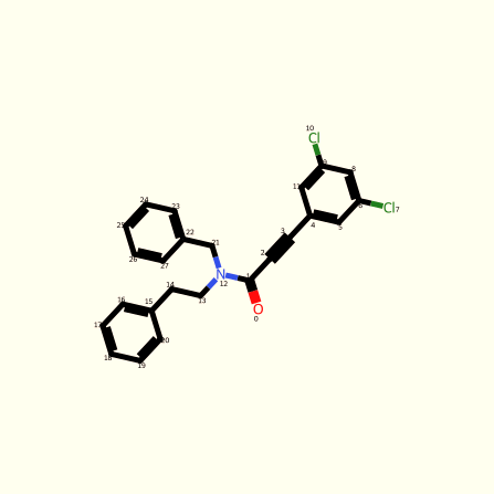 O=C(C#Cc1cc(Cl)cc(Cl)c1)N(CCc1ccccc1)Cc1ccccc1